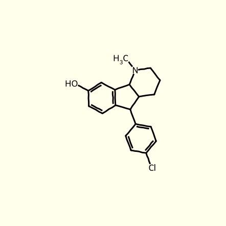 CN1CCCC2C(c3ccc(Cl)cc3)c3ccc(O)cc3C21